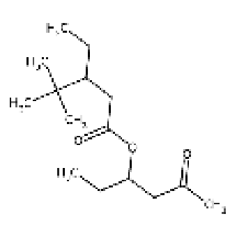 CCC(CC(C)=O)OC(=O)CC(CC)C(C)(C)C